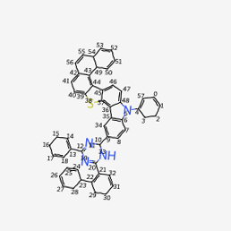 C1=CCCC(n2c3ccc(C4N=C(C5=CCCC=C5)N=C(C5=C(C6C=CC=CC6)CCC=C5)N4)cc3c3c4sc5ccc6c(c5c4ccc32)C2C=CC=CC2C=C6)=C1